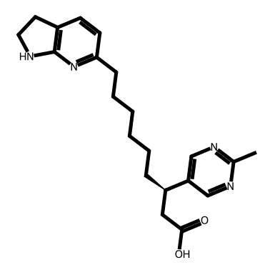 Cc1ncc([C@H](CCCCCCc2ccc3c(n2)NCC3)CC(=O)O)cn1